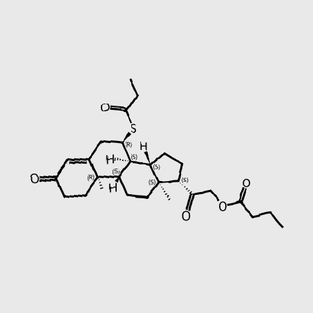 CCCC(=O)OCC(=O)[C@H]1CC[C@H]2[C@@H]3[C@H](SC(=O)CC)CC4=CC(=O)CC[C@]4(C)[C@H]3CC[C@]12C